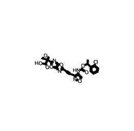 CC(OC(=O)Nc1conc1C#Cc1nc2oc(C3(C(=O)O)COC3)nc2o1)c1ccccc1Cl